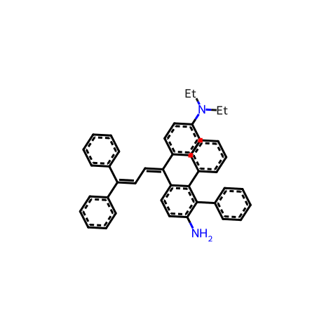 CCN(CC)c1ccc(C(=CC=C(c2ccccc2)c2ccccc2)c2ccc(N)c(-c3ccccc3)c2-c2ccccc2)cc1